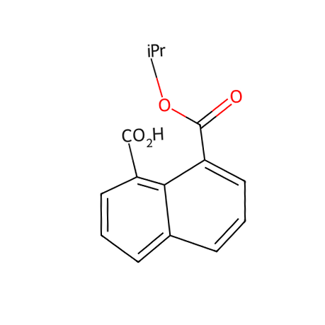 CC(C)OC(=O)c1cccc2cccc(C(=O)O)c12